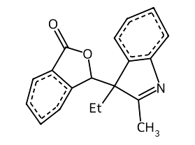 CCC1(C2OC(=O)c3ccccc32)C(C)=Nc2ccccc21